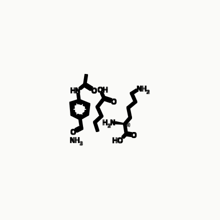 CC(=O)Nc1ccc(C=O)cc1.CCCCC(=O)O.N.NCCCC[C@H](N)C(=O)O